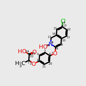 CC(Oc1ccc(OC2=Cc3ccc(Cl)cc3CN2O)cc1)C(=O)O